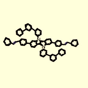 C(=C\c1ccc(-c2ccc3c(c2)n(-c2cccc(-c4cccc(-c5ccccc5)c4)c2)c2c4ccc(-c5ccc(/C=C/c6ccccc6)cc5)cc4n(-c4cccc(-c5cccc(-c6ccccc6)c5)c4)c32)cc1)/c1ccccc1